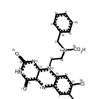 Cc1cc2nc3c(=O)[nH]c(=O)nc-3n(CCN(Cc3ccccc3)C(=O)O)c2cc1Cl